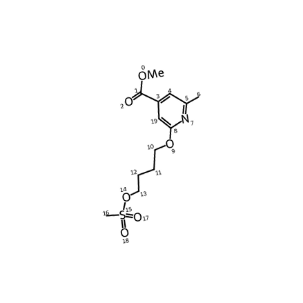 COC(=O)c1cc(C)nc(OCCCCOS(C)(=O)=O)c1